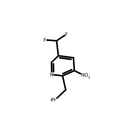 C[C](C)Cc1ncc(C(F)F)cc1[N+](=O)[O-]